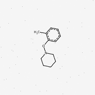 Cc1ccccc1ON1CCCCC1